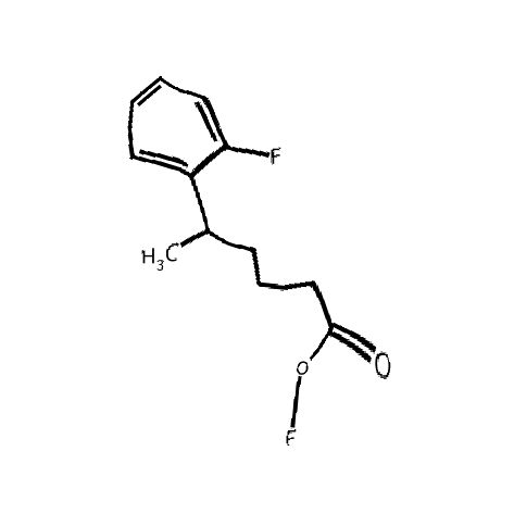 CC(CCCC(=O)OF)c1ccccc1F